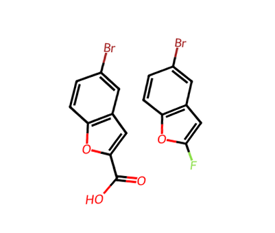 Fc1cc2cc(Br)ccc2o1.O=C(O)c1cc2cc(Br)ccc2o1